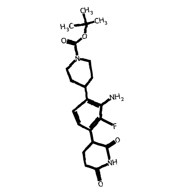 CC(C)(C)OC(=O)N1CCC(c2ccc(C3CCC(=O)NC3=O)c(F)c2N)CC1